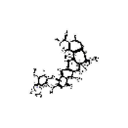 COC(=O)c1c(C)cc2c(c1O)[C@]1(O)C(=O)c3cc4c(c(O)c3C(=O)[C@]1(OC)/C(=N/O)C2)C(=O)C=C(N[C@H]1O[C@@H](C)[C@H](OC)/C(=N/O)[C@H]1OC)C4=O